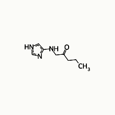 CCCC(=O)CNc1c[nH]cn1